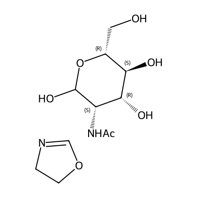 C1=NCCO1.CC(=O)N[C@@H]1C(O)O[C@H](CO)[C@@H](O)[C@@H]1O